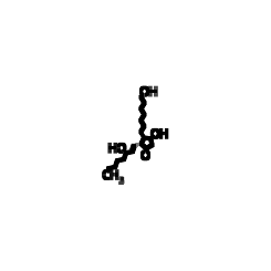 CCCCCC(O)/C=C/[C@H]1C(=O)CC(O)[C@@H]1CCCCCCCO